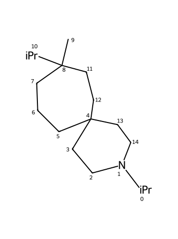 CC(C)N1CCC2(CCCC(C)(C(C)C)CC2)CC1